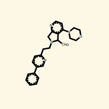 O=CC1c2c(N3CCOCC3)ccnc2CN1CCc1ccc(-c2ccccc2)cn1